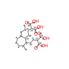 CCCC1CCCC(C)C(CCC(C(=O)O)C(=O)O)C1CCC(C(=O)O)C(=O)O